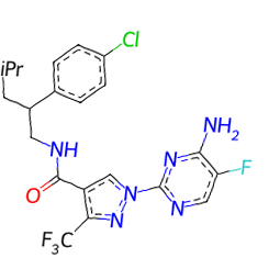 CC(C)CC(CNC(=O)c1cn(-c2ncc(F)c(N)n2)nc1C(F)(F)F)c1ccc(Cl)cc1